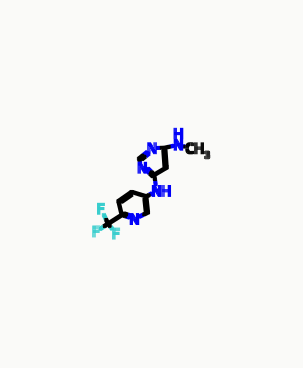 CNc1cc(Nc2ccc(C(F)(F)F)nc2)ncn1